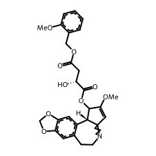 COC1=CC23CCCN2CCc2cc4c(cc2[C@@H]3C1OC(=O)[C@H](O)CC(=O)OCc1ccccc1OC)OCO4